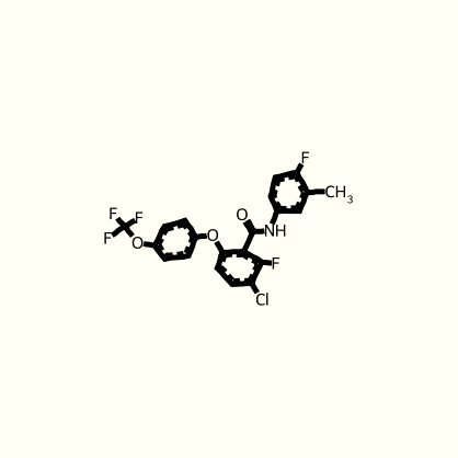 Cc1cc(NC(=O)c2c(Oc3ccc(OC(F)(F)F)cc3)ccc(Cl)c2F)ccc1F